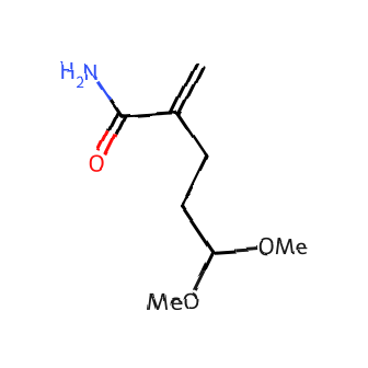 C=C(CCC(OC)OC)C(N)=O